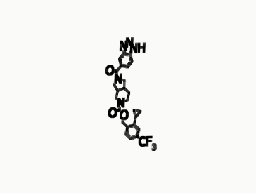 O=C(OCc1ccc(C(F)(F)F)cc1C1CC1)N1CCC2CN(C(=O)c3ccc4[nH]nnc4c3)CC2C1